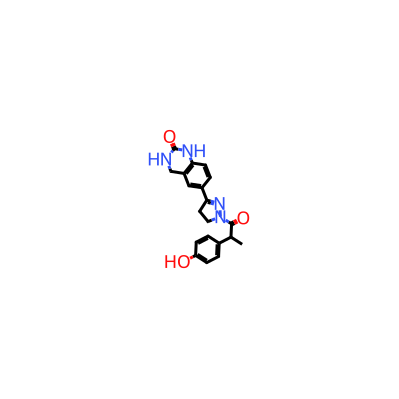 CC(C(=O)N1CCC(c2ccc3c(c2)CNC(=O)N3)=N1)c1ccc(O)cc1